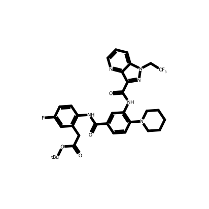 CC(C)(C)OC(=O)Cc1cc(F)ccc1NC(=O)c1ccc(N2CCCCC2)c(NC(=O)c2nn(CC(F)(F)F)c3cccnc23)c1